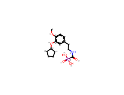 COc1ccc(CCNC(=O)P(=O)(O)O)cc1OC1CCCC1